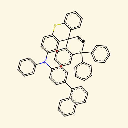 c1ccc(N(c2ccc(-c3cccc4ccccc34)cc2)c2ccc3c(c2)C2(c4ccccc4S3)c3ccccc3[Si](c3ccccc3)(c3ccccc3)c3ccccc32)cc1